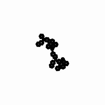 c1ccc(N(c2ccc3ccccc3c2)c2ccc3c4cccc5c4n(c3c2)-c2ccccc2C52c3ccccc3-c3cc(-c4ccc5cc(N(c6ccc7c(c6)-n6c8ccccc8c8cccc(c86)C76c7ccccc7-c7ccccc76)c6ccc7ccccc7c6)ccc5c4)ccc32)cc1